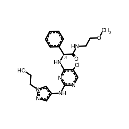 COCCNC(=O)[C@@H](Nc1nc(Nc2cnn(CCO)c2)ncc1Cl)c1ccccc1